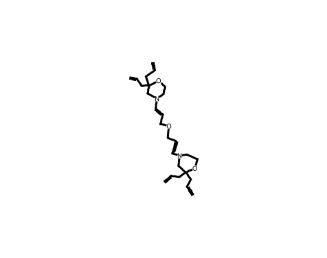 C=CCC1(CC=C)CN(C=CCOCC=CN2CCOC(CC=C)(CC=C)C2)CCO1